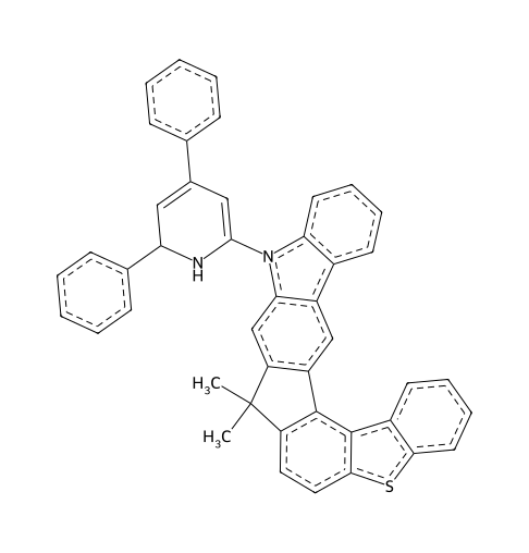 CC1(C)c2cc3c(cc2-c2c1ccc1sc4ccccc4c21)c1ccccc1n3C1=CC(c2ccccc2)=CC(c2ccccc2)N1